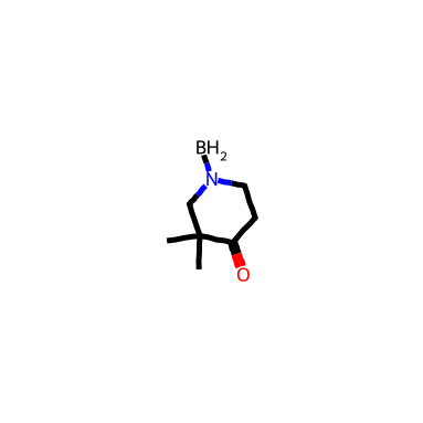 BN1CCC(=O)C(C)(C)C1